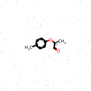 Cc1ccc(O[C@@H](C)C=O)cc1